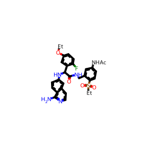 CCOc1ccc(F)c(C(Nc2ccc3c(N)nccc3c2)C(=O)NCc2cc(NC(C)=O)ccc2S(=O)(=O)CC)c1